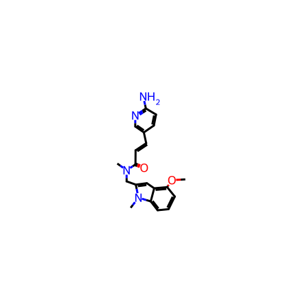 COc1cccc2c1cc(CN(C)C(=O)C=Cc1ccc(N)nc1)n2C